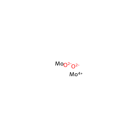 [Mo+4].[Mo].[O-2].[O-2]